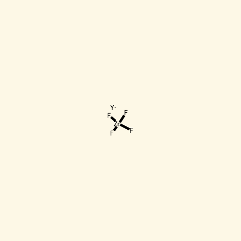 [F][Zr]([F])([F])[F].[Y]